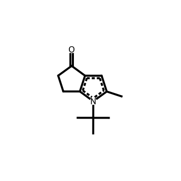 Cc1cc2c(n1C(C)(C)C)CCC2=O